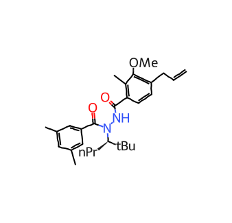 C=CCc1ccc(C(=O)NN(C(=O)c2cc(C)cc(C)c2)[C@H](CCC)C(C)(C)C)c(C)c1OC